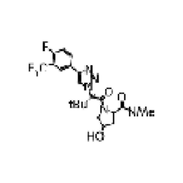 CNC(=O)C1CC(O)CN1C(=O)[C@@H](n1cc(-c2ccc(F)c(C(F)(F)F)c2)nn1)C(C)(C)C